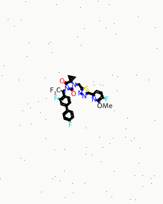 COc1nc(-c2nnc(CN3C(=O)N([C@@H](c4ccc(-c5ccc(F)cc5)cc4F)C(F)(F)F)C(=O)C34CC4)s2)ccc1F